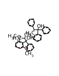 CC(c1ccccc1)C(O)(c1ccccc1)c1ccccc1.COc1cccc(OC)c1C(O)(c1ccccc1)C(C)C